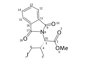 COC(=O)[C@H](C(C)CI)N1C(=O)c2ccccc2C1=O